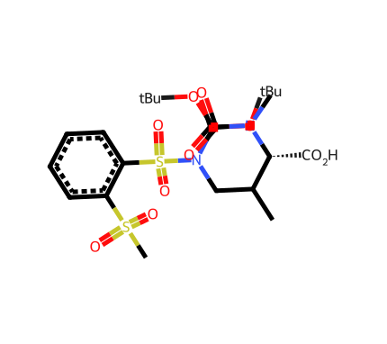 CC(CN(C(=O)OC(C)(C)C)S(=O)(=O)c1ccccc1S(C)(=O)=O)[C@@H](C(=O)O)N(C)C(=O)OC(C)(C)C